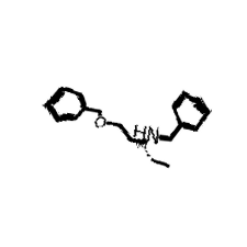 CC[C@H](CCOCc1ccccc1)NCc1ccccc1